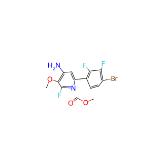 COC=O.COc1c(N)cc(-c2ccc(Br)c(F)c2F)nc1F